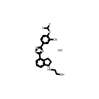 Cl.N#Cc1cc(-c2nc(-c3cccc4c3CC[C@@H]4NCCO)no2)ccc1OC(F)F